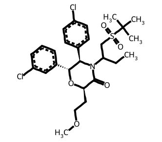 CCC(CS(=O)(=O)C(C)(C)C)N1C(=O)[C@@H](CCOC)O[C@H](c2cccc(Cl)c2)[C@H]1c1ccc(Cl)cc1